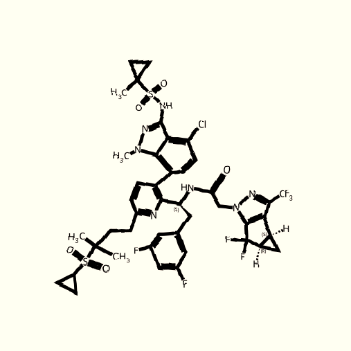 Cn1nc(NS(=O)(=O)C2(C)CC2)c2c(Cl)ccc(-c3ccc(CCC(C)(C)S(=O)(=O)C4CC4)nc3[C@H](Cc3cc(F)cc(F)c3)NC(=O)Cn3nc(C(F)(F)F)c4c3C(F)(F)[C@@H]3C[C@H]43)c21